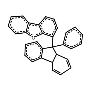 C1=CC2c3ccccc3C(c3ccccc3)(c3cccc4c3oc3ccccc34)C2C=C1